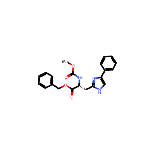 CC(C)(C)OC(=O)N[C@H](Cc1nc(-c2ccccc2)c[nH]1)C(=O)OCc1ccccc1